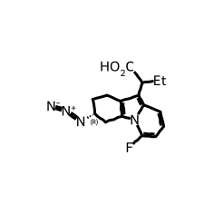 CCC(C(=O)O)c1c2c(n3c(F)cccc13)C[C@H](N=[N+]=[N-])CC2